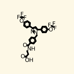 O=C(O)CCNC(=O)c1ccc(Cn2nc(-c3ccc(OC(F)(F)F)cc3)cc2-c2ccc(OC(F)(F)F)cc2)cc1